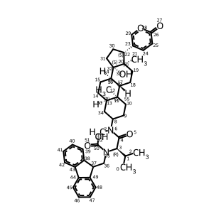 CC(C)[C@H](C(=O)N(C)C1CC[C@@]2(C)[C@H](CC[C@@H]3[C@@H]2CC[C@]2(C)[C@@H](c4ccc(=O)oc4)CC[C@]32O)C1)N(CC1c2ccccc2-c2ccccc21)C(=O)O